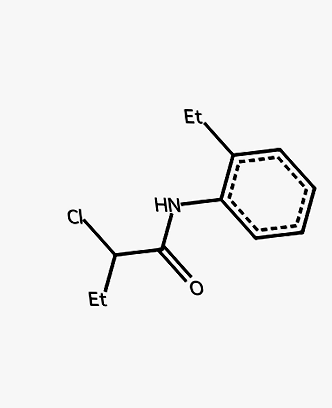 CCc1ccccc1NC(=O)C(Cl)CC